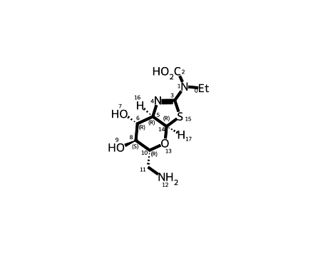 CCN(C(=O)O)C1=N[C@@H]2[C@@H](O)[C@H](O)[C@@H](CN)O[C@@H]2S1